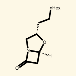 CCCCCCCC[C@H]1CN2C(=O)C[C@@H]2O1